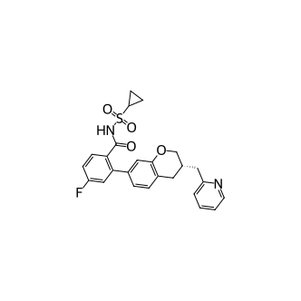 O=C(NS(=O)(=O)C1CC1)c1ccc(F)cc1-c1ccc2c(c1)OC[C@H](Cc1ccccn1)C2